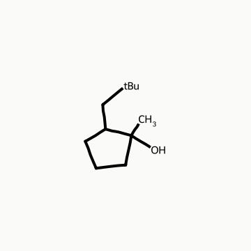 CC(C)(C)CC1CCCC1(C)O